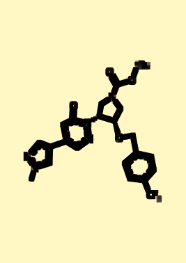 Cn1cc(-c2cnn([C@@H]3CN(C(=O)OC(C)(C)C)C[C@H]3OCc3ccc(C(F)(F)F)cc3)c(=O)c2)cn1